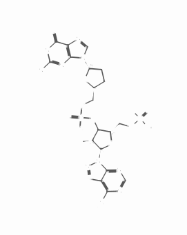 Nc1nc2c(ncn2[C@H]2CC[C@@H](COP(O)(=S)OC3[C@@H](COP(O)(O)=S)O[C@@H](n4nnc5c(N)ncnc54)[C@H]3F)S2)c(=O)[nH]1